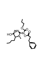 CCCCC(C(=O)O)N(C)C(=N)N(OC(=O)CCc1ccccc1)C(=O)OCCC